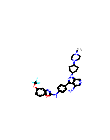 CN1CCN(C2CCC(n3nc(-c4ccc(Nc5nc6cc(OC(F)(F)F)ccc6o5)cc4)c4c(N)cncc43)CC2)CC1